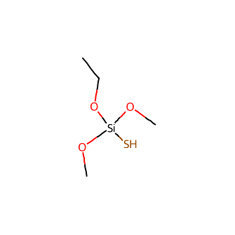 CCO[Si](S)(OC)OC